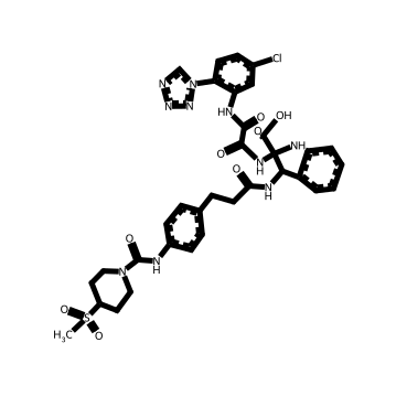 CS(=O)(=O)C1CCN(C(=O)Nc2ccc(CCC(=O)NC3c4ccccc4NC3(NC(=O)C(=O)Nc3cc(Cl)ccc3-n3cnnn3)C(=O)O)cc2)CC1